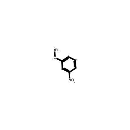 [CH2]C(C)(C)Oc1cccc([N+](=O)[O-])c1